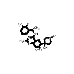 COc1cc2nc(C)nc(N[C@H](C)c3cccc(C(F)(F)F)c3F)c2cc1C1(O)CCN(C(C)=O)CC1